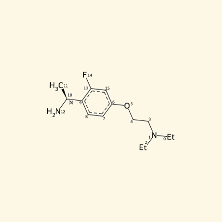 CCN(CC)CCOc1ccc([C@H](C)N)c(F)c1